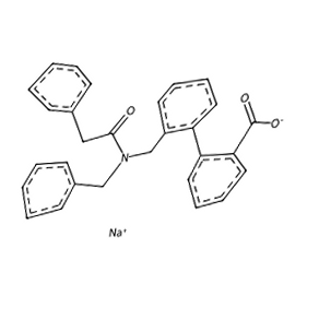 O=C([O-])c1ccccc1-c1ccccc1CN(Cc1ccccc1)C(=O)Cc1ccccc1.[Na+]